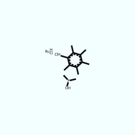 CP(C)O.Cc1c(C)c(C)c(C)c(C)c1C.Cl.Cl.[Ru]